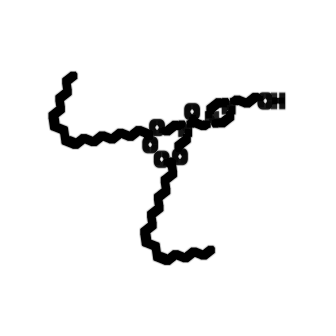 CCCCC/C=C\C/C=C\CCCCCCCC(=O)OCCN(CCOC(=O)CCCCCCC/C=C\C/C=C\CCCCC)C(=O)CN1CCN(CCCO)CC1